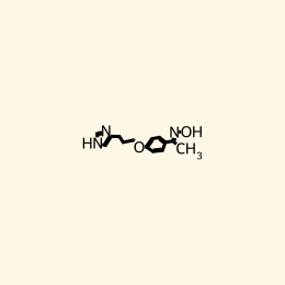 CC(=NO)c1ccc(OCCCc2c[nH]cn2)cc1